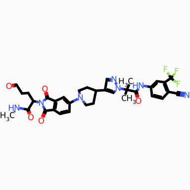 CNC(=O)C(CCC=O)N1C(=O)c2ccc(N3CCC(c4cnn(C(C)(C)C(=O)Nc5ccc(C#N)c(C(F)(F)F)c5)c4)CC3)cc2C1=O